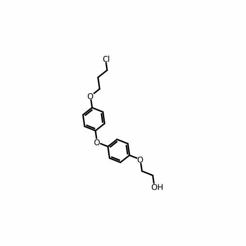 OCCOc1ccc(Oc2ccc(OCCCCl)cc2)cc1